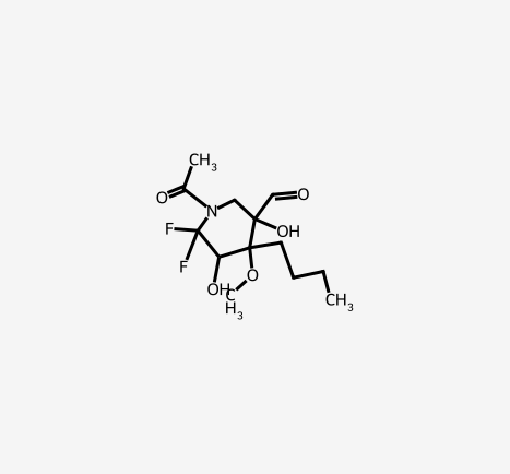 CCCCC1(OC)C(O)C(F)(F)N(C(C)=O)CC1(O)C=O